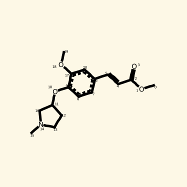 COC(=O)/C=C/c1ccc(OC2CCN(C)C2)c(OC)c1